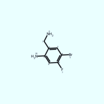 NCc1cc(Br)c(F)cc1N